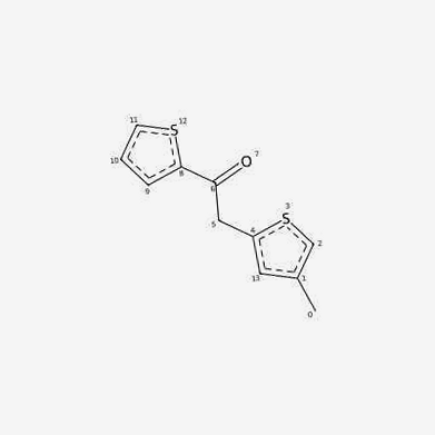 Cc1csc(CC(=O)c2cccs2)c1